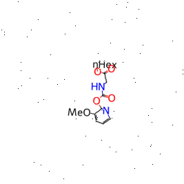 CCCCCCOC(=O)CNC(=O)Oc1ncccc1OC